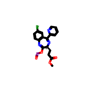 COC(=O)CC[C@@H]1N=C(c2ccccn2)c2cc(Br)ccc2N=C1OP=O